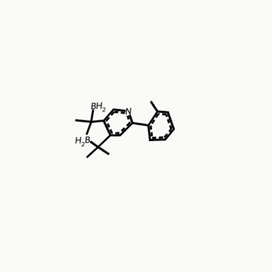 BC(C)(C)c1cnc(-c2ccccc2C)cc1C(B)(C)C